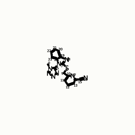 Cn1nnnc1-n1c(SCc2cccc(C#N)n2)nc2ccccc21